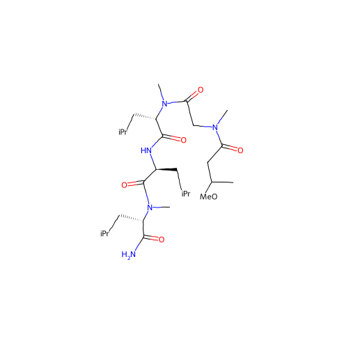 COC(C)CC(=O)N(C)CC(=O)N(C)[C@@H](CC(C)C)C(=O)N[C@@H](CC(C)C)C(=O)N(C)[C@@H](CC(C)C)C(N)=O